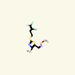 CO/N=C\c1sc(SCCC(F)=C(F)F)nc1C